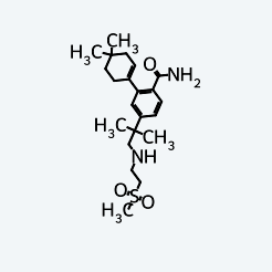 CC1(C)CC=C(c2cc(C(C)(C)CNCCS(C)(=O)=O)ccc2C(N)=O)CC1